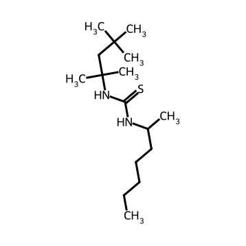 CCCCCC(C)NC(=S)NC(C)(C)CC(C)(C)C